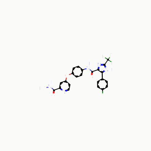 CNC(=O)c1cc(Oc2ccc(NC(=O)c3nc(C(F)(F)F)[nH]c3-c3ccc(F)cc3)cc2)ccn1